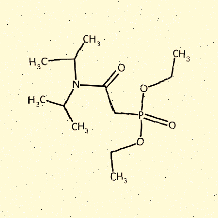 CCOP(=O)(CC(=O)N(C(C)C)C(C)C)OCC